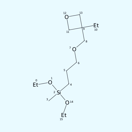 CCO[Si](C)(CCCOCC1(CC)COC1)OCC